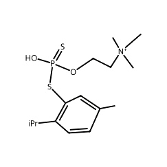 Cc1ccc(C(C)C)c(SP(O)(=S)OCC[N+](C)(C)C)c1